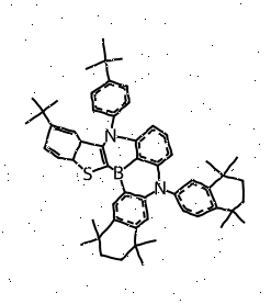 CC(C)(C)C1=CC2C3=C(SC2C=C1)B1c2cc4c(cc2N(c2ccc5c(c2)C(C)(C)CCC5(C)C)c2cccc(c21)N3c1ccc(C(C)(C)C)cc1)C(C)(C)CCC4(C)C